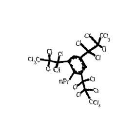 [CH2]CCc1c(C(Cl)(Cl)C(Cl)(Cl)C(Cl)(Cl)Cl)cc(C(Cl)(Cl)C(Cl)(Cl)C(Cl)(Cl)Cl)cc1C(Cl)(Cl)C(Cl)(Cl)C(Cl)(Cl)Cl